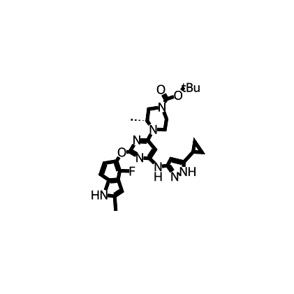 Cc1cc2c(F)c(Oc3nc(Nc4cc(C5CC5)[nH]n4)cc(N4CCN(C(=O)OC(C)(C)C)C[C@H]4C)n3)ccc2[nH]1